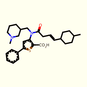 CC1CCC(C=CCC(=O)N(CC2CCCN(C)C2)c2cc(-c3ccccc3)sc2C(=O)O)CC1